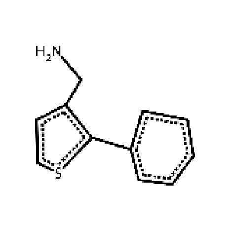 NCc1ccsc1-c1ccccc1